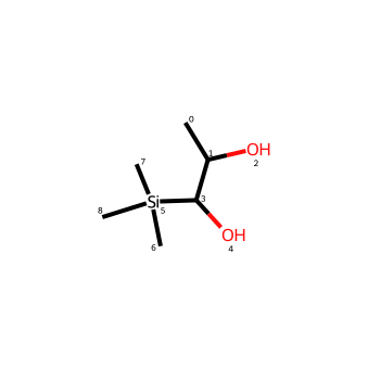 CC(O)C(O)[Si](C)(C)C